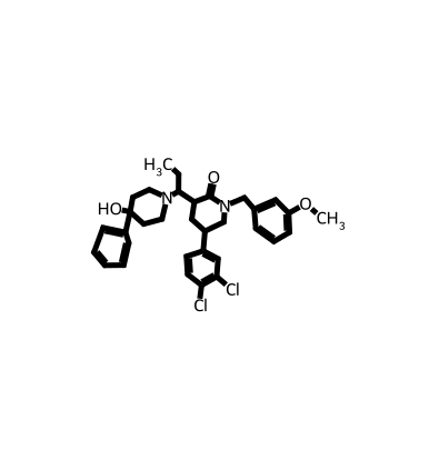 CCC(C1CC(c2ccc(Cl)c(Cl)c2)CN(Cc2cccc(OC)c2)C1=O)N1CCC(O)(c2ccccc2)CC1